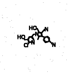 Cc1c(-c2ccc(C#N)cc2)c(C#N)c(CO)n1Cc1cnc(Cl)c(CO)c1